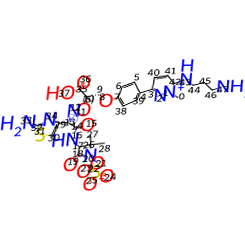 C[n+]1nc(-c2ccc(OC[C@H](O/N=C(\C(=O)NC3C(=O)N(OS(=O)(=O)[O-])C3(C)C)c3csc(N)n3)C(=O)O)cc2)ccc1NCCCN